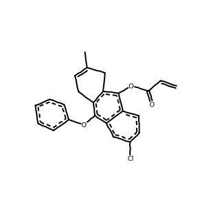 C=CC(=O)Oc1c2c(c(Oc3ccccc3)c3cc(Cl)ccc13)CC=C(C)C2